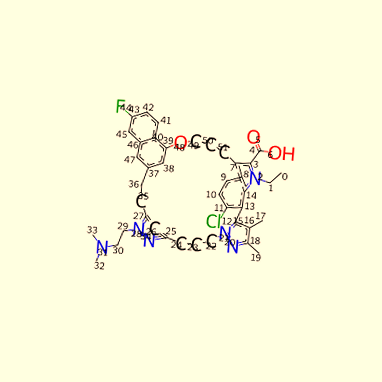 CCn1c(C(=O)O)c2c3ccc(Cl)c(c31)-c1c(C)c(C)nn1CCCc1cc(n(CCN(C)C)n1)CCc1cc(c3ccc(F)cc3c1)OCCC2